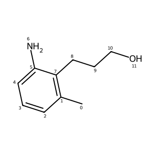 Cc1cccc(N)c1CCCO